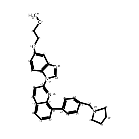 COCCOc1ccc2c(c1)ncn2-c1ccc2cccc(-c3ccc(CN4CCCC4)cc3)c2n1